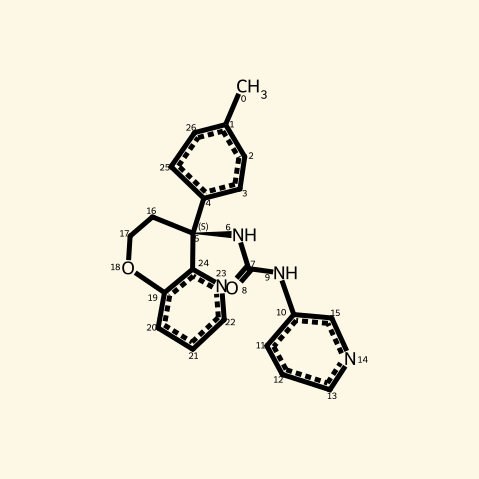 Cc1ccc([C@@]2(NC(=O)Nc3cccnc3)CCOc3cccnc32)cc1